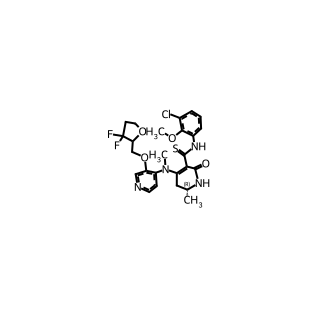 COc1c(Cl)cccc1NC(=S)C1=C(N(C)c2ccncc2OCC2OCCC2(F)F)C[C@@H](C)NC1=O